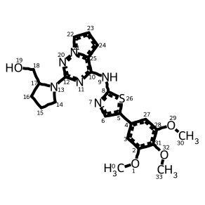 COc1cc(-c2cnc(Nc3nc(N4CCCC4CO)nn4cccc34)s2)cc(OC)c1OC